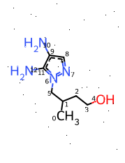 CC(CCO)Cn1ncc(N)c1N